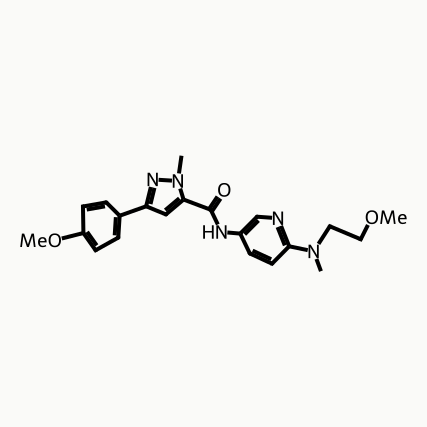 COCCN(C)c1ccc(NC(=O)c2cc(-c3ccc(OC)cc3)nn2C)cn1